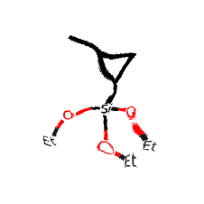 CCO[Si](OCC)(OCC)C1CC1C